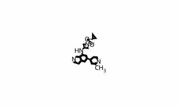 Cc1cc(-c2cc(NC3CN(S(=O)(=O)C4CC4)C3)c3cnccc3c2)ccn1